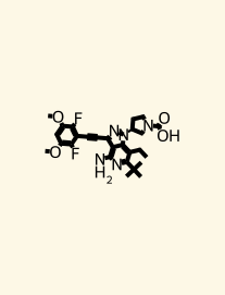 CCc1c(C(C)(C)C)nc(N)c2c(C#Cc3c(F)c(OC)cc(OC)c3F)nn([C@H]3CCN(C(=O)O)C3)c12